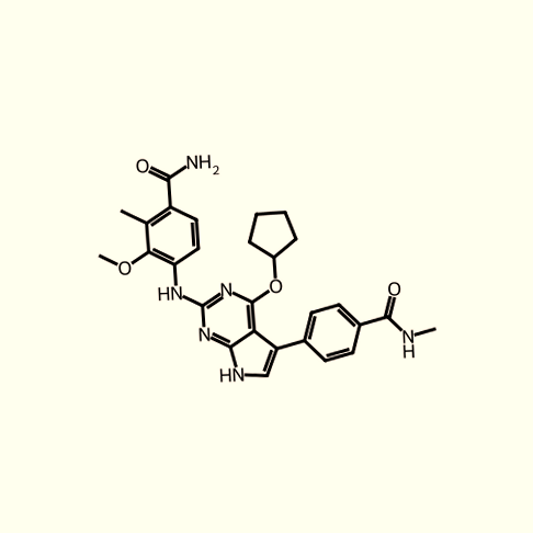 CNC(=O)c1ccc(-c2c[nH]c3nc(Nc4ccc(C(N)=O)c(C)c4OC)nc(OC4CCCC4)c23)cc1